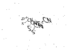 N#C[S-].N#C[S-].N#C[S-].N#C[S-].[Zr+4]